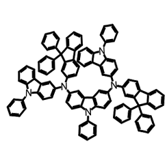 c1ccc(-n2c3ccccc3c3cc(N(c4ccc5c(c4)C(c4ccccc4)(c4ccccc4)c4ccccc4-5)c4ccc5c(c4)c4cc(N(c6ccc7c(c6)C(c6ccccc6)(c6ccccc6)c6ccccc6-7)c6ccc7c(c6)c6ccccc6n7-c6ccccc6)ccc4n5-c4ccccc4)ccc32)cc1